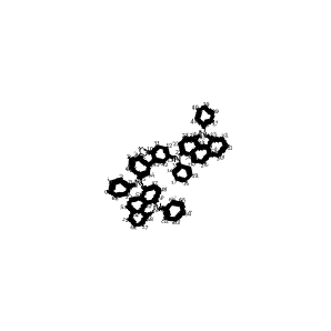 c1ccc(N(c2ccc3oc4ccc(N(c5ccccc5)c5ccc6c7c5ccc5cccc(c57)n6-c5ccccc5)cc4c3c2)c2ccc3c4c2ccc2cccc(c24)n3-c2ccccc2)cc1